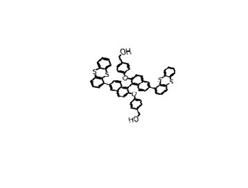 OCc1ccc(Oc2ccc3cc(-c4cccc5c4Sc4ccccc4S5)ccc3c2-c2c(Oc3ccc(CO)cc3)ccc3cc(-c4cccc5c4Sc4ccccc4S5)ccc23)cc1